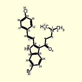 CN(C)CCC(=O)c1c(/C=C/c2ccc(Cl)cc2)[nH]c2cc(Br)ccc12